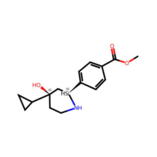 COC(=O)c1ccc([Si@@H]2C[C@@](O)(C3CC3)CCN2)cc1